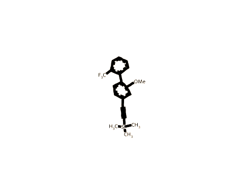 COc1cc(C#C[Si](C)(C)C)ccc1-c1ccccc1C(F)(F)F